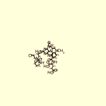 C=O.CN(Cc1cnc2nc(N)nc(N)c2n1)c1ccc(C(=O)N[C@@H](CCC(=O)O)C(=O)O)cc1.O=P1(N(CCCl)CCCl)NCCCO1